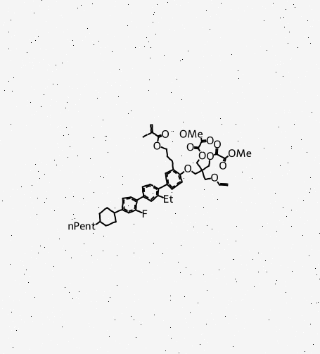 C=COCC(COC(=O)C(=O)OC)(COC(=O)C(=O)OC)COc1ccc(-c2ccc(-c3ccc(C4CCC(CCCCC)CC4)cc3F)cc2CC)cc1CCCOC(=O)C(=C)C